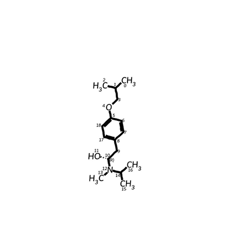 CC(C)COc1ccc(C[C@@H](O)N(C)C(C)C)cc1